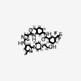 Cc1cc(Nc2ncc(C(=O)Nc3cc(NC(=O)c4cccc(C(F)(F)F)c4)ccc3C)s2)cc(N2CCN(CCO)CC2)n1